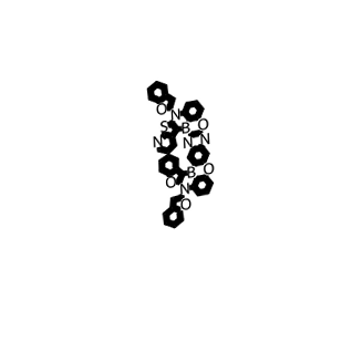 c1cc2c3c(c1)N(c1cc4ccccc4o1)c1oc4ccccc4c1B3c1cc3nc4c(nc3cc1O2)Oc1cccc2c1B4c1c(sc3ncccc13)N2c1cc2ccccc2o1